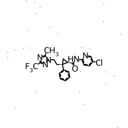 Cc1nc(C(F)(F)F)nn1CC[C@@]1(c2ccccc2)C[C@H]1C(=O)Nc1ccc(Cl)cn1